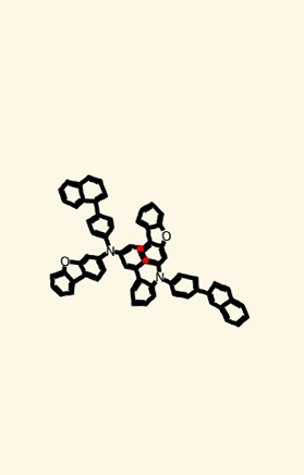 c1cc(-c2ccccc2N(c2ccc(-c3ccc4ccccc4c3)cc2)c2ccc3c(c2)oc2ccccc23)cc(N(c2ccc(-c3cccc4ccccc34)cc2)c2ccc3c(c2)oc2ccccc23)c1